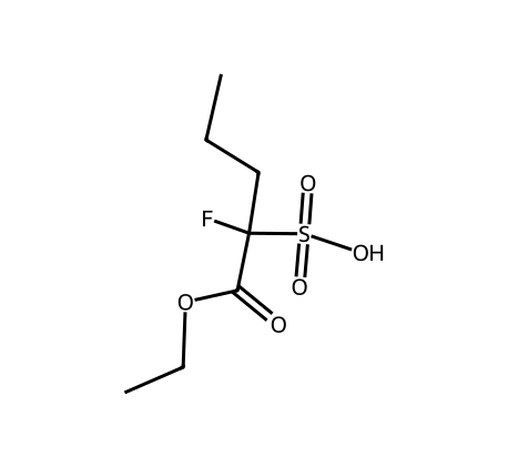 CCCC(F)(C(=O)OCC)S(=O)(=O)O